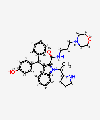 CC(C1CCCN1)n1c(C(=O)NCCCN2CCOCC2)c(C(c2ccccc2)c2ccc(O)cc2)c2ccccc21